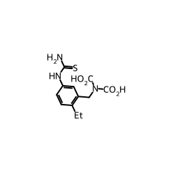 CCc1ccc(NC(N)=S)cc1CN(C(=O)O)C(=O)O